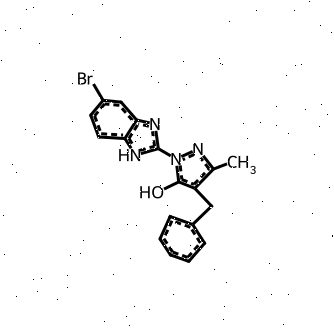 Cc1nn(-c2nc3cc(Br)ccc3[nH]2)c(O)c1Cc1ccccc1